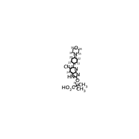 CC(C)(COc1nc2nc(-c3ccc(N4CCOCC4)cc3)c(Cl)cc2[nH]1)C(=O)O